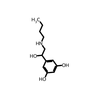 CCCCNCC(O)c1cc(O)cc(O)c1